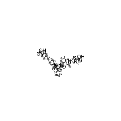 CN(CCN(Cc1cccc(C(=O)Nc2sc3c(c2C(=O)Nc2ccc(CCc4ccc(C(=O)O)cc4)cc2)CCCC3)c1)C1CC1)C(=O)C(=O)O